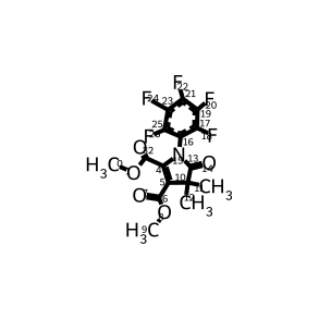 COC(=O)C1=C(C(=O)OC)C(C)(C)C(=O)N1c1c(F)c(F)c(F)c(F)c1F